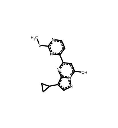 CSc1nccc(-c2cc(O)n3ncc(C4CC4)c3n2)n1